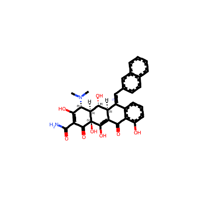 CN(C)[C@H]1C(O)=C(C(N)=O)C(=O)[C@@]2(O)C(O)=C3C(=O)c4c(O)cccc4/C(=C\c4ccc5ccccc5c4)[C@@H]3[C@@H](O)[C@H]12